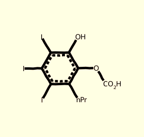 CCCc1c(I)c(I)c(I)c(O)c1OC(=O)O